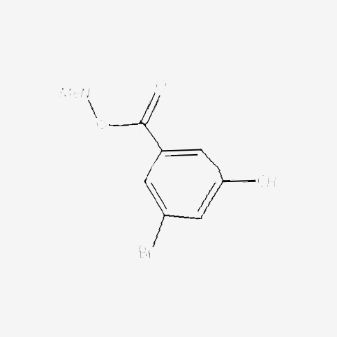 CNOC(=O)c1cc(C)cc(Br)c1